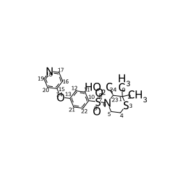 CC1(C)SCCN(S(=O)(=O)c2ccc(Oc3ccncc3)cc2)[C@H]1C(=O)O